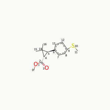 COC(=O)[C@H]1[C@H](c2ccc(SC)cc2)C1(C)C